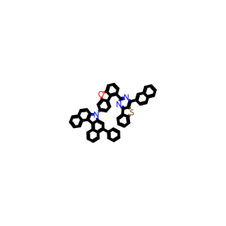 c1ccc(-c2cc3c(c4ccccc24)c2c4ccccc4ccc2n3-c2ccc3c(c2)oc2cccc(-c4nc(-c5ccc6ccccc6c5)c5sc6ccccc6c5n4)c23)cc1